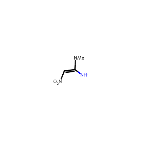 C[N]C([NH])=C[N+](=O)[O-]